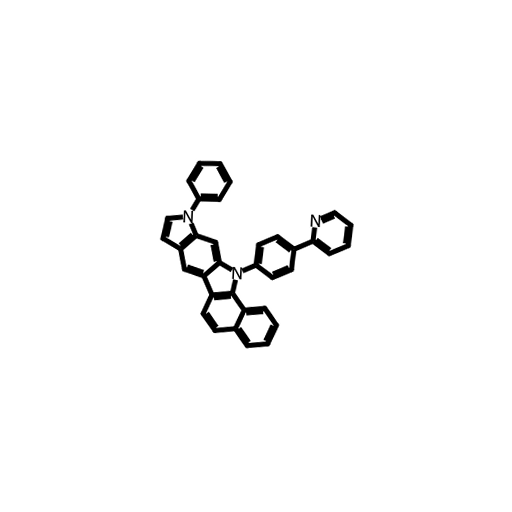 c1ccc(-n2ccc3cc4c5ccc6ccccc6c5n(-c5ccc(-c6ccccn6)cc5)c4cc32)cc1